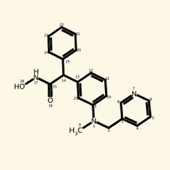 CN(Cc1cccnc1)c1cccc(C(C(=O)NO)c2ccccc2)c1